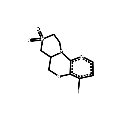 O=S1(=O)CCN2c3nccc(I)c3OCC2C1